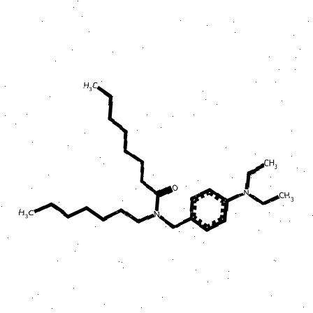 CCCCCCCC(=O)N(CCCCCCC)Cc1ccc(N(CC)CC)cc1